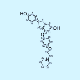 Oc1ccc(C2Cc3cc(O)cc(Oc4ccc(OCCN5CCCCC5)cc4)c3C2)cc1